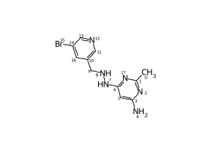 Cc1nc(N)cc(NNCc2cncc(Br)c2)n1